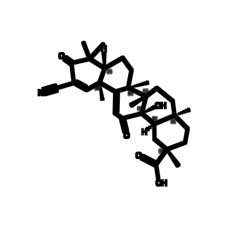 CC1(C)C(=O)C(C#N)=C[C@]2(C)C3=CC(=O)[C@]4(O)[C@@H]5C[C@@](C)(C(=O)O)CC[C@]5(C)CC[C@@]4(C)[C@]3(C)CC[C@@H]12